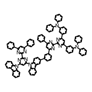 c1ccc(-c2cc(-c3cccc(-c4ccc5c(c4)c4ccccc4n5-c4cc(-n5c6ccccc6c6ccccc65)nc(-c5nc(-c6ccccc6)cc(-c6ccccc6)n5)n4)c3)nc(-c3nc(-c4cccc(N(c5ccccc5)c5ccccc5)c4)cc(-c4cccc(N(c5ccccc5)c5ccccc5)c4)n3)n2)cc1